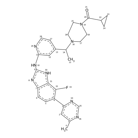 Cc1cc(-c2ccc3nc(Nc4cc(C(C)N5CCN(C(=O)C6CC6)CC5)ccn4)[nH]c3c2F)ncn1